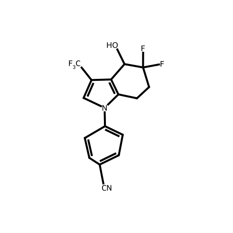 N#Cc1ccc(-n2cc(C(F)(F)F)c3c2CCC(F)(F)C3O)cc1